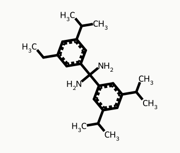 CCc1cc(C(C)C)cc(C(N)(N)c2cc(C(C)C)cc(C(C)C)c2)c1